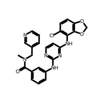 CN(Cc1cccnc1)C(=O)c1cccc(Nc2nccc(Nc3c(Cl)ccc4c3OCO4)n2)c1